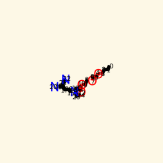 CCCCOCCOCCOC(=O)CN(/C=C/C=C(C#N)C#N)CC